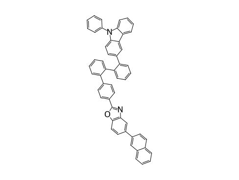 c1ccc(-n2c3ccccc3c3cc(-c4ccccc4-c4ccccc4-c4ccc(-c5nc6cc(-c7ccc8ccccc8c7)ccc6o5)cc4)ccc32)cc1